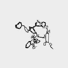 CCO[C@@H]1C[C@H]2COc3ccn4ncc(c4n3)-c3cc(OCc4ccccc4)cc(c3)N(S(=O)(=O)c3ccccc3[N+](=O)[O-])CCN2C1=O